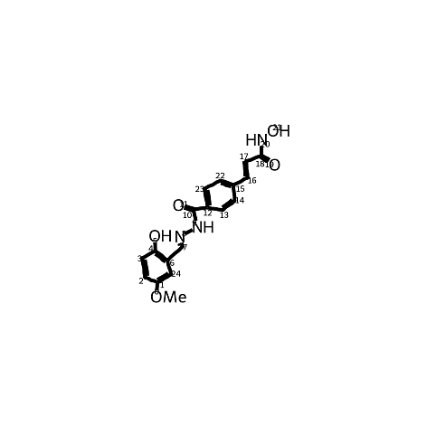 COc1ccc(O)c(/C=N/NC(=O)c2ccc(/C=C/C(=O)NO)cc2)c1